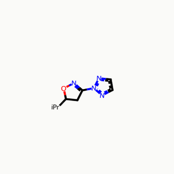 CC(C)C1CC(n2nccn2)=NO1